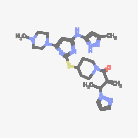 C=C(C(=O)N1CCC(Sc2nc(Nc3cc(C)n[nH]3)cc(N3CCN(C)CC3)n2)CC1)C(C)n1cccn1